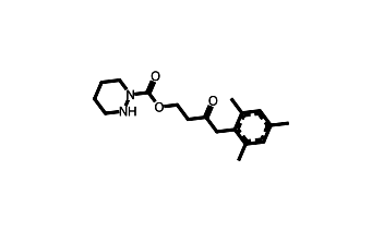 Cc1cc(C)c(CC(=O)CCOC(=O)N2CCCCN2)c(C)c1